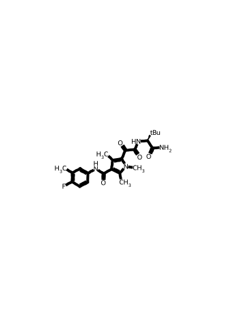 Cc1cc(NC(=O)c2c(C)c(C(=O)C(=O)N[C@H](C(N)=O)C(C)(C)C)n(C)c2C)ccc1F